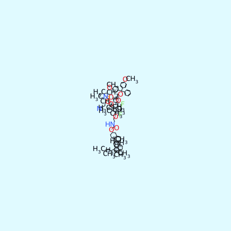 COc1ccc(C(OC[C@H]2O[C@@H](c3cc(COCCNC(=O)OC4CC[C@@]5(C)C(=CC[C@@H]6[C@@H]5CC[C@@]5(C)[C@H]6CC[C@]5(C)[C@H](C)CCCC(C)C)C4)c(F)cc3F)C(O[Si](C)(C)C(C)(C)C)[C@H]2OP(OCCC#N)N(C(C)C)C(C)C)(c2ccccc2)c2ccc(OC)cc2)cc1